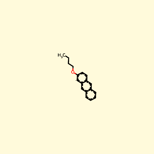 CCCCOc1[c]c2cc3ccccc3cc2cc1